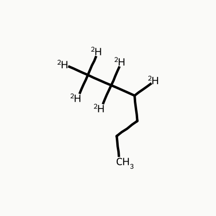 [2H]C(CCC)C([2H])([2H])C([2H])([2H])[2H]